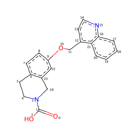 O=C(O)N1CCc2ccc(OCc3ccnc4ccccc34)cc2C1